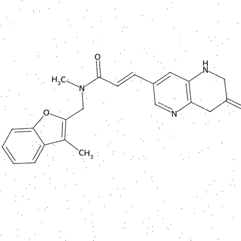 Cc1c(CN(C)C(=O)/C=C/c2cnc3c(c2)NCC(=O)C3)oc2ccccc12